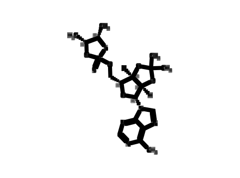 Cc1ncnc2c1ncn2[C@@H]1O[C@H](COP2(=S)O[C@H](C)[C@H](C)S2)[C@H]2OC(C)(C)O[C@H]21